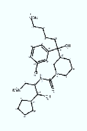 CNCC(NC(=O)N1CCCC(C(O)(CCCCOC)c2cccc(Cl)c2)C1)C(O)C1CCCC1